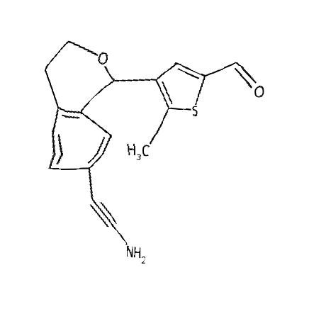 Cc1sc(C=O)cc1C1OCCc2ccc(C#CN)cc21